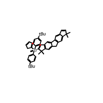 [CH2]=[Zr]([C]1=CC=CC1)([C]1=Cc2cc3c(cc2C1(C)C)Cc1cc2c(cc1-3)C=CC2(C)C)([c]1ccc(C(C)(C)C)cc1)[c]1ccc(C(C)(C)C)cc1